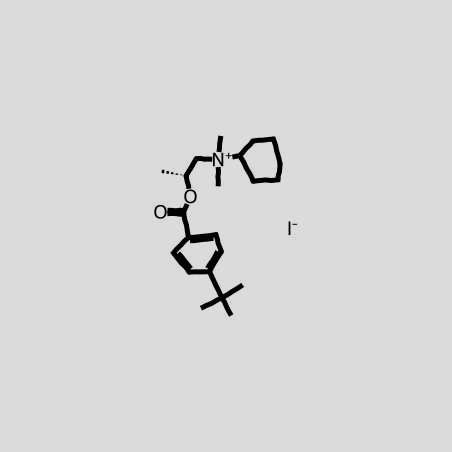 C[C@H](C[N+](C)(C)C1CCCCC1)OC(=O)c1ccc(C(C)(C)C)cc1.[I-]